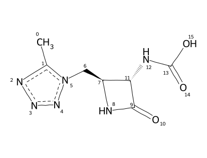 Cc1nnnn1C[C@@H]1NC(=O)[C@H]1NC(=O)O